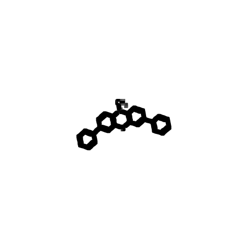 CN1c2ccc(-c3ccccc3)cc2Sc2cc(-c3ccccc3)ccc21